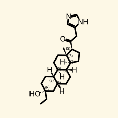 CC[C@@]1(O)CC[C@H]2[C@H](CC[C@@H]3[C@@H]2CC[C@]2(C)[C@@H](C(=O)Cc4cnc[nH]4)CC[C@@H]32)C1